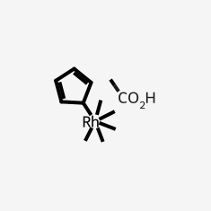 CC(=O)O.[CH3][Rh]([CH3])([CH3])([CH3])([CH3])[CH]1C=CC=C1